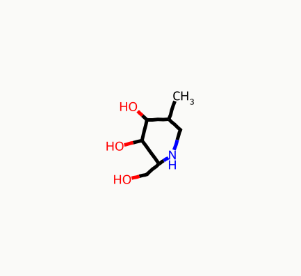 CC1CNC(CO)C(O)C1O